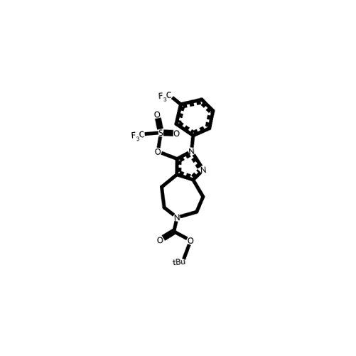 CC(C)(C)OC(=O)N1CCc2nn(-c3cccc(C(F)(F)F)c3)c(OS(=O)(=O)C(F)(F)F)c2CC1